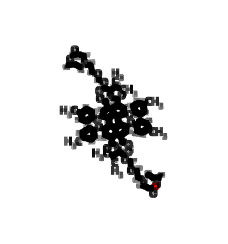 Cc1ccc(Oc2cc3c4c(cc(Oc5ccc(C)cc5)c5c6c(Oc7ccc(C)cc7)cc7c8c(cc(Oc9ccc(C)cc9)c(c2c45)c86)C(=O)N(C(C(=O)OCOCCN(CC2CO2)CC2CO2)C(C)C)C7=O)C(=O)N(C(C(=O)OCOCCN(CC2CO2)CC2CO2)C(C)C)C3=O)cc1